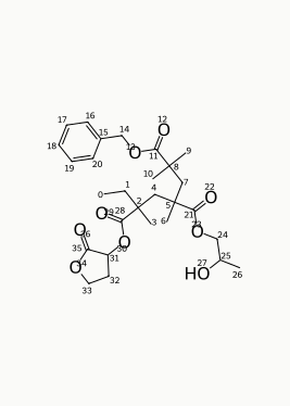 CCC(C)(CC(C)(CC(C)(C)C(=O)OCc1ccccc1)C(=O)OCC(C)O)C(=O)OC1CCOC1=O